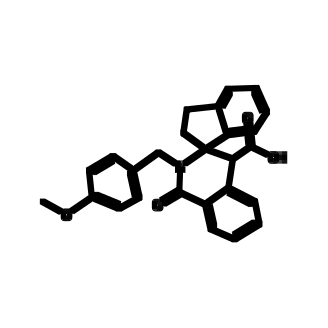 COc1ccc(CN2C(=O)c3ccccc3C(C(=O)O)C23CCc2ccccc23)cc1